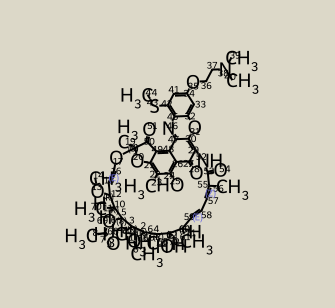 CO[C@H]1[C@@H](C)[C@H](OC(C)=O)[C@H](C)[C@@H](OC)/C=C/O[C@@]2(C)Oc3c(C)c(O)c4c(=O)c(c5oc6cc(OCCN(C)C)cc(SC)c6nc-5c4c3C2=O)NC(=O)/C(C)=C\C=C\[C@H](C)[C@H](O)[C@H]1C